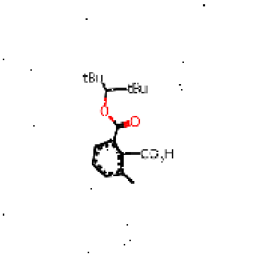 Cc1cccc(C(=O)OC(C(C)(C)C)C(C)(C)C)c1C(=O)O